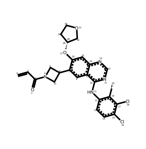 C=CC(=O)N1CC(c2cc3c(Nc4ccc(Cl)c(Cl)c4F)ncnc3cc2O[C@@H]2CCOC2)C1